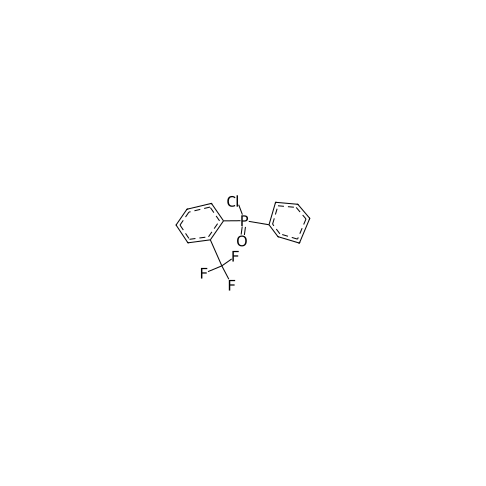 O=P(Cl)(c1ccccc1)c1ccccc1C(F)(F)F